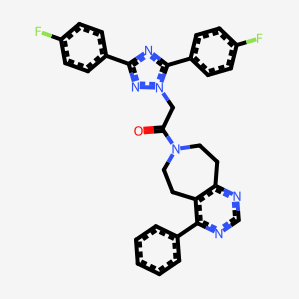 O=C(Cn1nc(-c2ccc(F)cc2)nc1-c1ccc(F)cc1)N1CCc2ncnc(-c3ccccc3)c2CC1